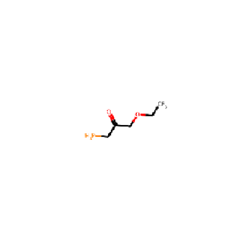 O=C(C[PH4])COCC(F)(F)F